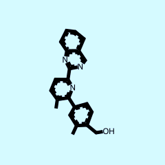 Cc1cc(-c2nc(-c3ncc4ccccc4n3)ccc2C)ccc1CO